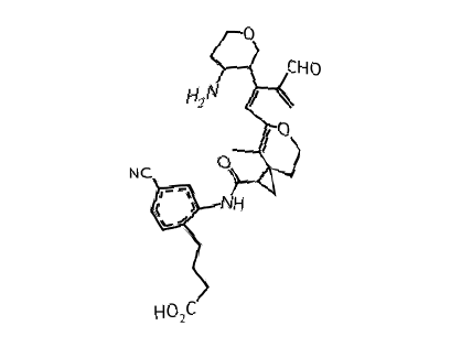 C=C(C=O)/C(=C\C1=C(C)[C@]2(CCO1)C[C@H]2C(=O)Nc1cc(C#N)ccc1CCCC(=O)O)C1COCCC1N